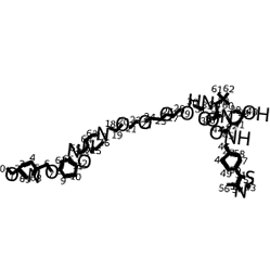 COc1ccc(COc2ccc3oc(N4CCN(CCOCCOCCOCCOCC(=O)N[C@H](C(=O)N5C[C@H](O)C[C@H]5C(=O)NCc5ccc(-c6scnc6C)cc5)C(C)(C)C)CC4)nc3c2)nc1